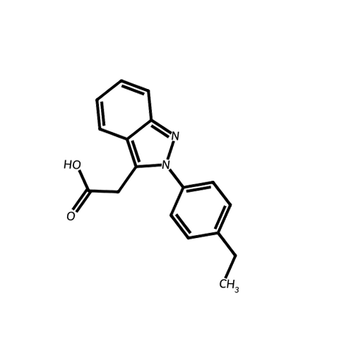 CCc1ccc(-n2nc3ccccc3c2CC(=O)O)cc1